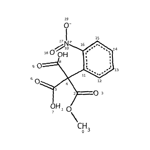 COC(=O)C(C(=O)O)(C(=O)O)c1ccccc1[N+](=O)[O-]